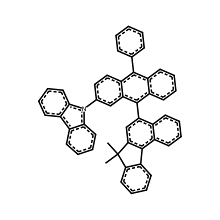 CC1(C)c2ccccc2-c2c1cc(-c1c3ccccc3c(-c3ccccc3)c3ccc(-n4c5ccccc5c5ccccc54)cc13)c1ccccc21